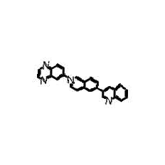 c1ccc2ncc(-c3ccc4c[n+](-c5ccc6nccnc6c5)ccc4c3)cc2c1